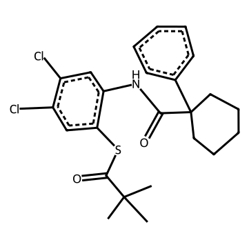 CC(C)(C)C(=O)Sc1cc(Cl)c(Cl)cc1NC(=O)C1(c2ccccc2)CCCCC1